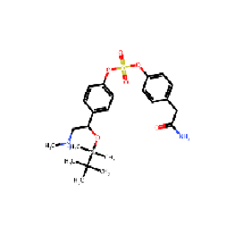 CNCC(O[Si](C)(C)C(C)(C)C)c1ccc(OS(=O)(=O)Oc2ccc(CC(N)=O)cc2)cc1